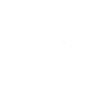 CC(C)(C)c1cc(Cl)c2[nH]ncc2c1